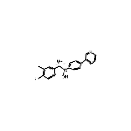 Cc1cc([C@H](N)[C@H](O)c2ccc(-c3cccnc3)cc2)ccc1Cl